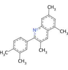 Cc1cc(C)c2cc(C)c(-c3ccc(C)c(C)c3)nc2c1